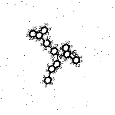 c1ccc(-c2ccc3cc(N(c4ccc(-c5ccc(-c6cc7ccccc7c7ccccc67)cc5)cc4)c4cc5c6ccccc6sc5c5ccccc45)ccc3c2)cc1